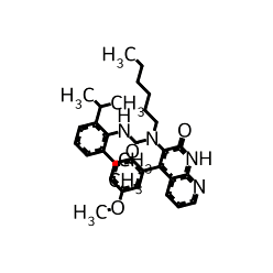 CCCCCCN(C(=O)Nc1c(C(C)C)cccc1C(C)C)c1c(-c2cccc(OC)c2)c2cccnc2[nH]c1=O